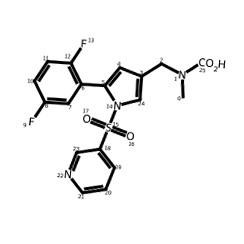 CN(Cc1cc(-c2cc(F)ccc2F)n(S(=O)(=O)c2cccnc2)c1)C(=O)O